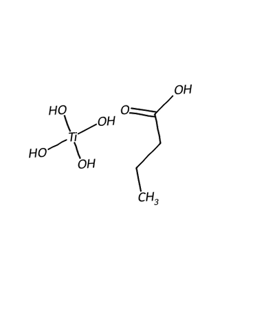 CCCC(=O)O.[OH][Ti]([OH])([OH])[OH]